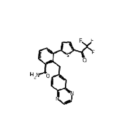 NC(=O)c1cccc(-c2ccc(C(=O)C(F)(F)F)s2)c1Cc1ccc2nccnc2c1